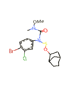 CON(C)C(=O)N(SOC1CC2CCC1C2)c1ccc(Br)c(Cl)c1